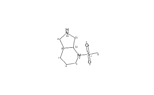 CS(=O)(=O)N1CCCC2CNCC21